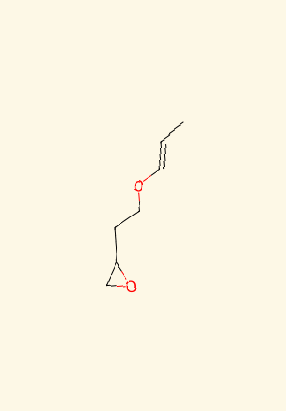 CC=COCCC1CO1